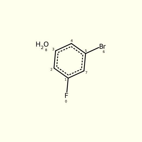 Fc1cccc(Br)c1.O